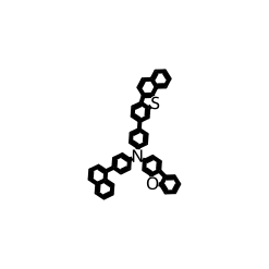 c1ccc2c(-c3ccc(N(c4ccc(-c5ccc6c(c5)sc5c7ccccc7ccc65)cc4)c4ccc5c(c4)oc4ccccc45)cc3)cccc2c1